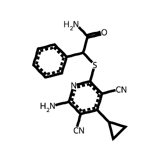 N#Cc1c(N)nc(SC(C(N)=O)c2ccccc2)c(C#N)c1C1CC1